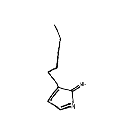 CCCCCC1=CC=NC1=N